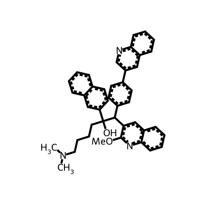 COc1nc2ccccc2cc1C(c1ccc(-c2cnc3ccccc3c2)cc1)C(O)(CCCCN(C)C)c1ccc2ccccc2c1